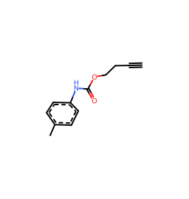 C#CCCOC(=O)Nc1ccc(C)cc1